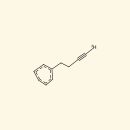 [2H]C#CCCc1ccccc1